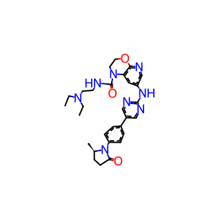 CCN(CC)CCNC(=O)N1CCOc2ncc(Nc3ncc(-c4ccc(N5C(=O)CC[C@H]5C)cc4)cn3)cc21